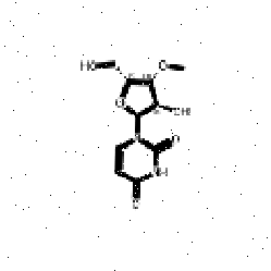 CO[C@H]1[C@@H](CO)OC(n2ccc(=O)[nH]c2=O)[C@@H]1O